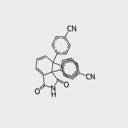 N#Cc1ccc(C2(c3ccc(C#N)cc3)C=CC=C3C(=O)NC(=O)C32c2ccccc2)cc1